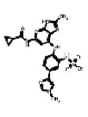 CCS(=O)(=O)Nc1cc(-c2cn(C)cn2)ccc1Nc1cc(NC(=O)C2CC2)nc2[nH]c(C)nc12